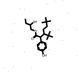 CCC(S)COC(=O)C(c1ccc(O)cc1)C(CCC(C)(C)C)C(C)(C)C